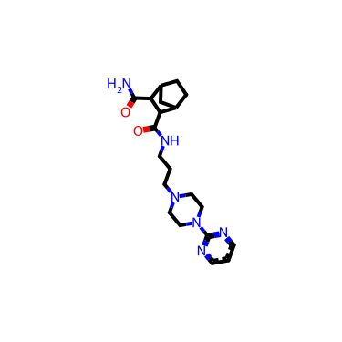 NC(=O)C1C2CCC(C2)C1C(=O)NCCCN1CCN(c2ncccn2)CC1